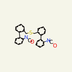 O=C=Nc1ccccc1-c1ccccc1CSCc1ccccc1-c1ccccc1N=C=O